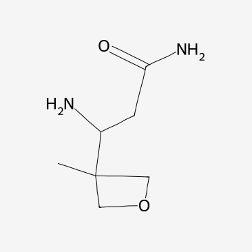 CC1(C(N)CC(N)=O)COC1